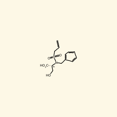 C=CCS(=O)(=O)N(Cc1ccccc1)[C@H](CO)C(=O)O